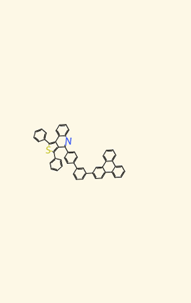 c1ccc(-c2sc(-c3ccccc3)c3c2c(-c2ccc(-c4cccc(-c5ccc6c7ccccc7c7ccccc7c6c5)c4)cc2)nc2ccccc23)cc1